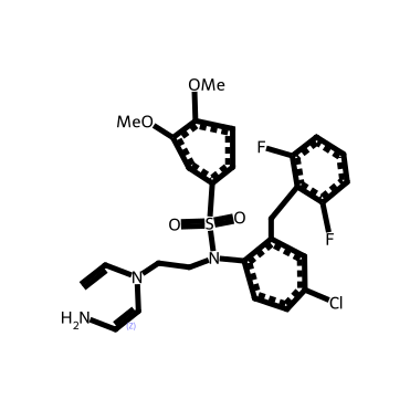 C=CN(/C=C\N)CCN(c1ccc(Cl)cc1Cc1c(F)cccc1F)S(=O)(=O)c1ccc(OC)c(OC)c1